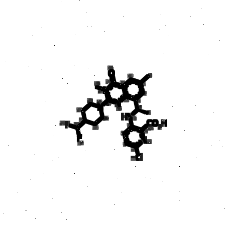 Cc1cc([C@@H](C)Nc2ccc(Cl)nc2C(=O)O)c2nc(N3CCC(C(F)F)CC3)n(C)c(=O)c2c1